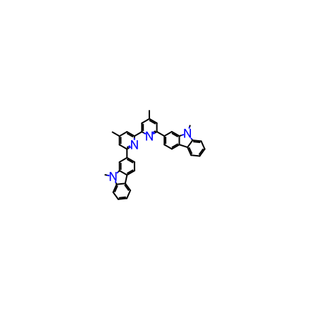 Cc1cc(-c2ccc3c4ccccc4n(C)c3c2)nc(-c2cc(C)cc(-c3ccc4c5ccccc5n(C)c4c3)n2)c1